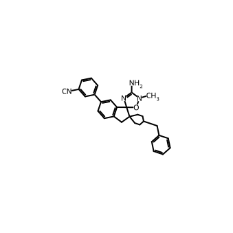 [C-]#[N+]c1cccc(-c2ccc3c(c2)C2(N=C(N)N(C)O2)C2(CCC(Cc4ccccc4)CC2)C3)c1